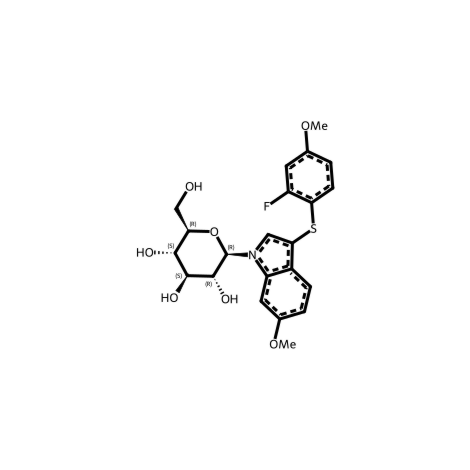 COc1ccc(Sc2cn([C@@H]3O[C@H](CO)[C@@H](O)[C@H](O)[C@H]3O)c3cc(OC)ccc23)c(F)c1